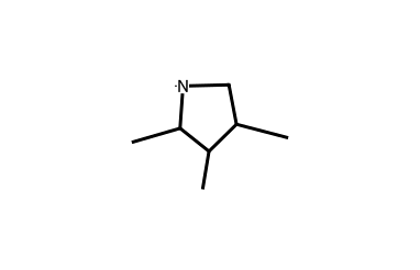 CC1C[N]C(C)C1C